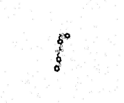 CC(Cc1ccc(OCC(=O)NCCc2ccc(Oc3ccccc3)cc2)cc1)(Oc1ccccc1)C(=O)O